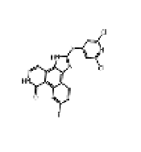 O=c1[nH]ccc2c3[nH]c(Sc4cc(Cl)nc(Cl)c4)nc3c3ccc(F)cc3c12